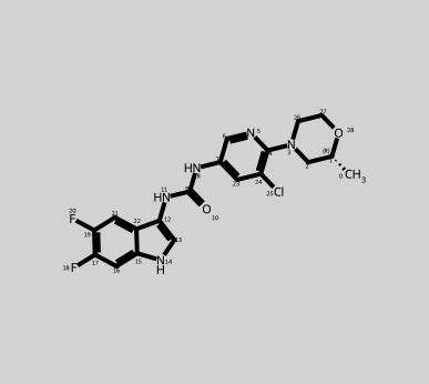 C[C@@H]1CN(c2ncc(NC(=O)Nc3c[nH]c4cc(F)c(F)cc34)cc2Cl)CCO1